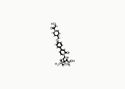 C[C@@](CCn1ccc(-c2ccc(OCC3CCN(C(=O)CO)CC3)cc2)cc1=O)(C(=O)NO)S(C)(=O)=O